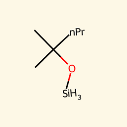 CCCC(C)(C)O[SiH3]